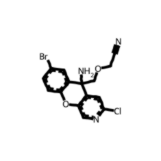 N#CCOCC1(N)c2cc(Br)ccc2Oc2cnc(Cl)cc21